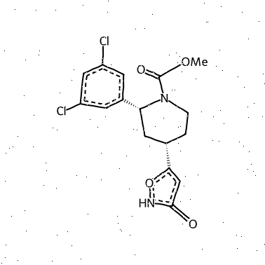 COC(=O)N1CC[C@H](c2cc(=O)[nH]o2)C[C@@H]1c1cc(Cl)cc(Cl)c1